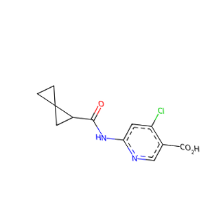 O=C(O)c1cnc(NC(=O)C2CC23CC3)cc1Cl